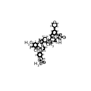 Cc1cc(-n2nc3c(c2-n2ccn(-c4cccc(CS(C)(=O)=O)c4)c2=O)[C@H](C)N(C(=O)c2cc4cc(C5CCOCC5)ccc4n2[C@@]2(c4noc(=O)[nH]4)C[C@@H]2C)CC3)cc(C)c1F